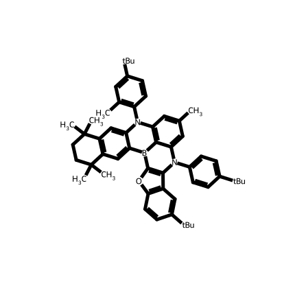 Cc1cc2c3c(c1)N(c1ccc(C(C)(C)C)cc1)c1c(oc4ccc(C(C)(C)C)cc14)B3c1cc3c(cc1N2c1ccc(C(C)(C)C)cc1C)C(C)(C)CCC3(C)C